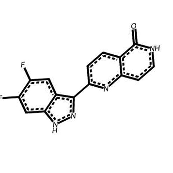 O=c1[nH]ccc2nc(-c3n[nH]c4cc(F)c(F)cc34)ccc12